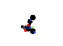 Cn1c(OC[C@H]2CCN(c3ccccc3)C2)nc(-c2ccncc2F)cc1=O